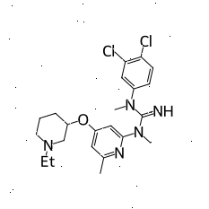 CCN1CCCC(Oc2cc(C)nc(N(C)C(=N)N(C)c3ccc(Cl)c(Cl)c3)c2)C1